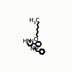 CCCCCCCCOC1=CCC=CC1c1n[nH]cc/c1=N/C(=O)Cc1ccccc1